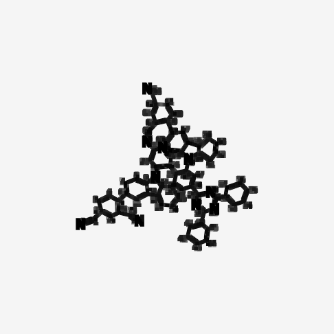 N#Cc1ccc(-c2ccc3c(c2)c2ccccc2n3-c2ccncc2-c2ccc(-c3nc(-c4ccccc4)nc(-c4ccccc4)n3)cc2-n2c3ccccc3c3cc(-c4ccc(C#N)cc4C#N)ccc32)c(C#N)c1